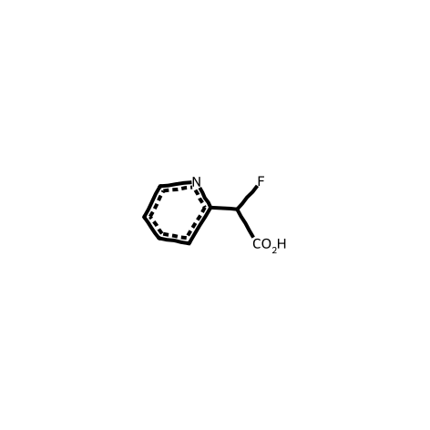 O=C(O)C(F)c1ccccn1